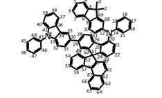 CC1(C)c2ccccc2-c2ccc(N(c3ccccc3)c3cccc4c3-c3ccc(-c5ccc6c(c5)c5ccccc5n6-c5ccccc5)cc3C43c4ccccc4-c4c3ccc3ccccc43)cc21